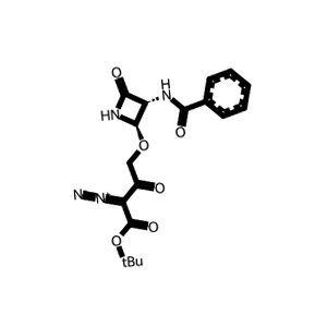 CC(C)(C)OC(=O)C(=[N+]=[N-])C(=O)CO[C@H]1NC(=O)[C@@H]1NC(=O)c1ccccc1